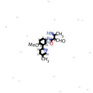 COc1ccc(NC(=O)C(C=O)C(C)=N)cc1-c1ccc(C)cn1